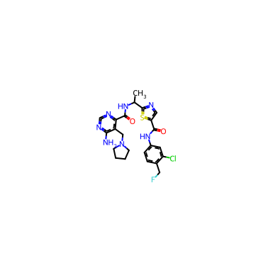 CC(NC(=O)c1ncnc(N)c1CN1CCCC1)c1ncc(C(=O)Nc2ccc(CF)c(Cl)c2)s1